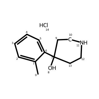 Cc1ccccc1C1(O)CCNCC1.Cl